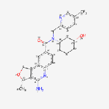 C[C@@H]1OCc2c1c(N)nc1ccc(C(=O)N(Cc3ccc(C(F)(F)F)cn3)[C@H]3CCC[C@@H](O)C3)cc21